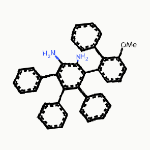 COc1cccc(-c2c(N)c(N)c(-c3ccccc3)c(-c3ccccc3)c2-c2ccccc2)c1-c1ccccc1